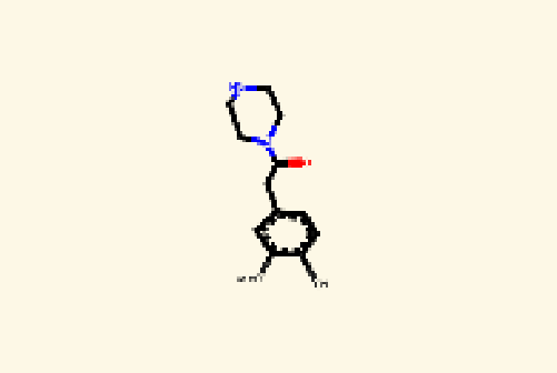 COc1cc(CC(=O)N2CCNCC2)ccc1C#N